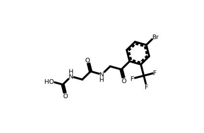 O=C(O)NCC(=O)NCC(=O)c1ccc(Br)cc1C(F)(F)F